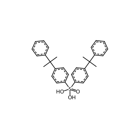 CC(C)(c1ccccc1)c1ccc(S(=O)(O)(O)c2ccc(C(C)(C)c3ccccc3)cc2)cc1